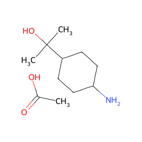 CC(=O)O.CC(C)(O)C1CCC(N)CC1